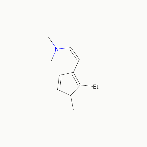 CCC1=C(/C=C\N(C)C)C=CC1C